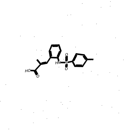 C/C(=C\c1ccccc1NS(=O)(=O)c1ccc(C)cc1)C(=O)O